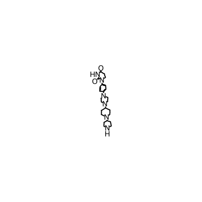 O=C1CCN(c2ccc(N3CCN(C4CCN(C5CCNCC5)CC4)CC3)cc2)C(=O)N1